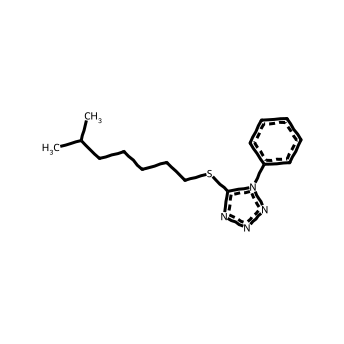 CC(C)CCCCCSc1nnnn1-c1ccccc1